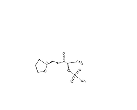 CCCS(=O)(=O)OC(C)C(=O)OC[C@@H]1CCCO1